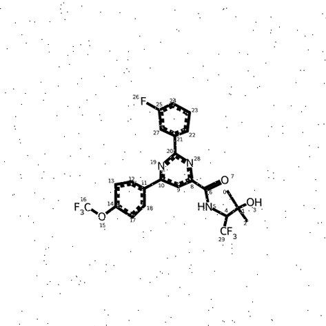 CC(C)(O)C(NC(=O)c1cc(-c2ccc(OC(F)(F)F)cc2)nc(-c2cccc(F)c2)n1)C(F)(F)F